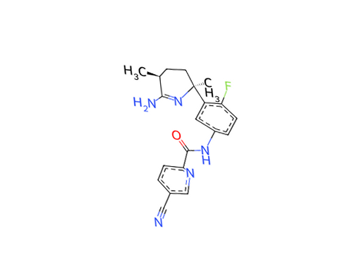 C[C@H]1CC[C@@](C)(c2cc(NC(=O)c3ccc(C#N)cn3)ccc2F)N=C1N